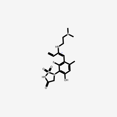 C=C/C(=C\c1c(C)cc(O)c(N2CC(=O)NS2(=O)=O)c1F)NCCN(C)C